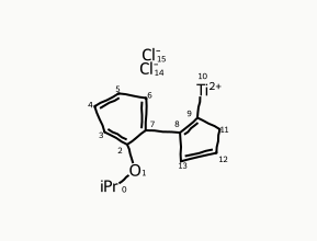 CC(C)Oc1ccccc1C1=[C]([Ti+2])CC=C1.[Cl-].[Cl-]